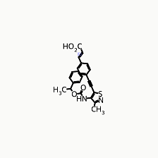 Cc1nsc(C#Cc2ccc(/C=C/C(=O)O)cc2)c1NC(=O)OC(C)c1ccccc1